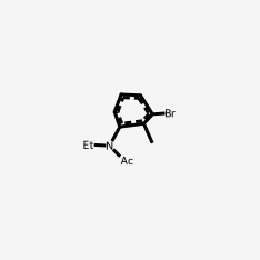 CCN(C(C)=O)c1cccc(Br)c1C